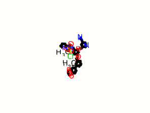 Cc1c(COc2cc(OCc3cncc(C#N)c3)c(CN(C(=O)[C@@H]3CCCCN3)S(C)(=O)=O)cc2Cl)cccc1-c1ccc2c(c1)OCCO2